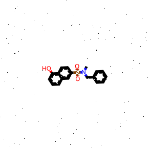 CN(Cc1ccccc1)S(=O)(=O)c1ccc2c(O)cccc2c1